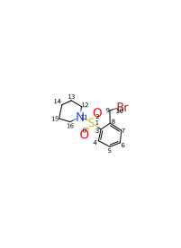 O=S(=O)(c1ccccc1CBr)N1CCCCC1